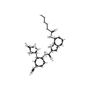 CCCCCC(=O)Nc1cccc2cc(C(=O)Nc3ccc(C#N)cc3-c3noc(=O)[nH]3)[nH]c12